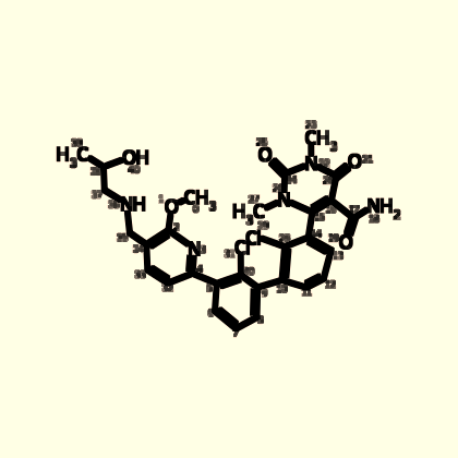 COc1nc(-c2cccc(-c3cccc(-c4c(C(N)=O)c(=O)n(C)c(=O)n4C)c3Cl)c2Cl)ccc1CNCC(C)O